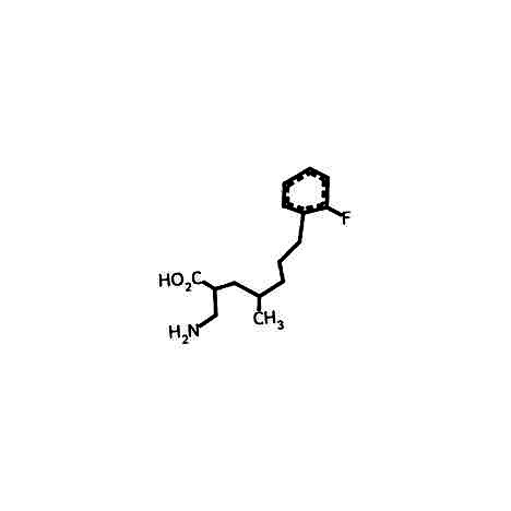 CC(CCCc1ccccc1F)CC(CN)C(=O)O